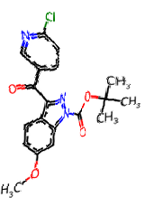 COc1ccc2c(C(=O)c3ccc(Cl)nc3)nn(C(=O)OC(C)(C)C)c2c1